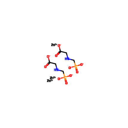 O=C([O-])CNCP(=O)([O-])[O-].O=C([O-])CNCP(=O)([O-])[O-].[Zn+2].[Zn+2].[Zn+2]